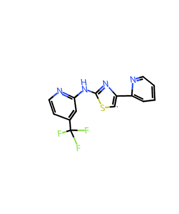 FC(F)(F)c1ccnc(Nc2nc(-c3ccccn3)[c]s2)c1